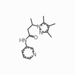 Cc1nn(C(C)CC(=O)Nc2cccnc2)c(C)c1C